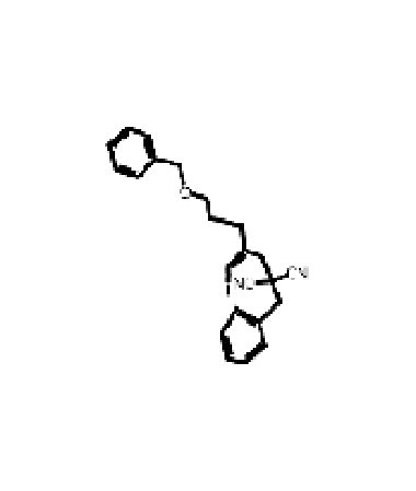 N#CC(C#N)(CC(=CI)CCCOCc1ccccc1)Cc1ccccc1